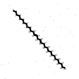 CCCCCCCCCCCCC=CCC=CCCCCCCCCCCCCC